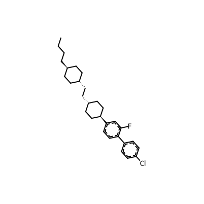 CCCC[C@H]1CC[C@H](CC[C@H]2CC[C@H](c3ccc(-c4ccc(Cl)cc4)c(F)c3)CC2)CC1